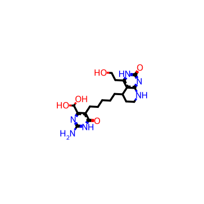 Nc1nc(C(O)O)c(CCCCCC2CCNc3nc(=O)[nH]c(CCO)c32)c(=O)[nH]1